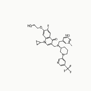 Cc1cc(CN(Cc2cn(C3CC3)c3cc(OCCO)c(F)cc3c2=O)[C@H]2CCCN(c3cncc(C(F)(F)F)c3)C2)ccn1.Cl